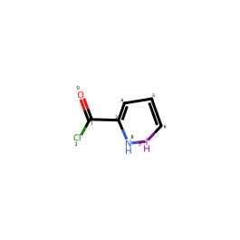 O=C(Cl)C1=CC=C[IH]N1